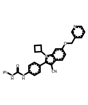 CC(C)NC(=O)Nc1ccc(-c2c(C#N)c3ccc(OCc4cccnc4)cc3n2C2CCC2)cc1